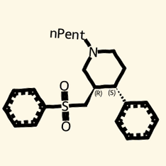 CCCCCN1CC[C@H](c2ccccc2)[C@@H](CS(=O)(=O)c2ccccc2)C1